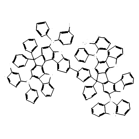 N#Cc1ccccc1N(c1ccccc1)c1cc2c(c3c1oc1ccccc13)-c1c(cc(N(c3ccccc3)c3ccccc3C#N)c3c1oc1ccccc13)C2(c1ccccc1)c1ccc(-c2ccc3c(c2)oc2c(N(c4ccccc4)c4cccc(F)c4)cc4c(c23)-c2c(cc(N(c3ccccc3)c3cccc(F)c3)c3c2oc2ccccc23)C4(c2ccccc2)c2ccccc2)cc1